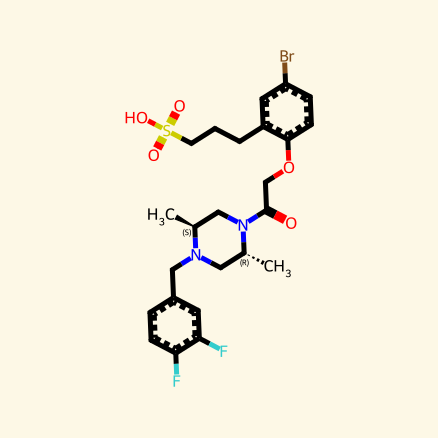 C[C@@H]1CN(Cc2ccc(F)c(F)c2)[C@@H](C)CN1C(=O)COc1ccc(Br)cc1CCCS(=O)(=O)O